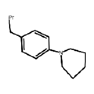 CC(C)Cc1ccc(N2CCCCC2)cc1